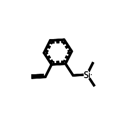 C=Cc1ccccc1C[Si](C)C